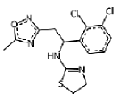 Cc1nc(CC(NC2=NCCS2)c2cccc(Cl)c2Cl)no1